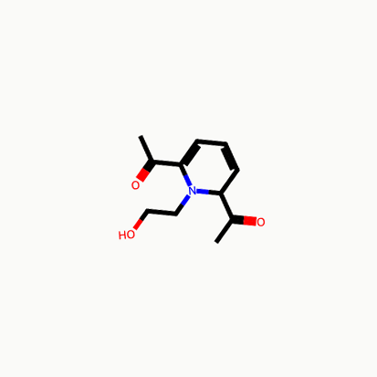 CC(=O)C1=CC=CC(C(C)=O)N1CCO